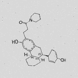 O=C(CCc1cc2c(cc1O)[C@@H]1CCCC[C@@H]1[C@H](C1C=CC(O)=CC1)C2)N1CCCCC1